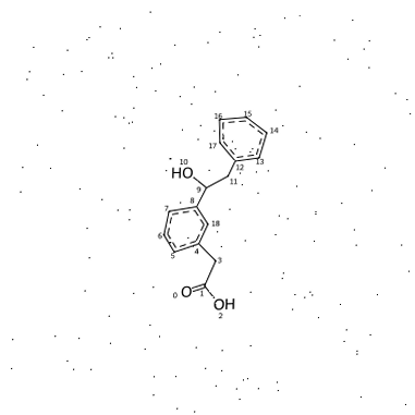 O=C(O)Cc1cccc(C(O)Cc2ccccc2)c1